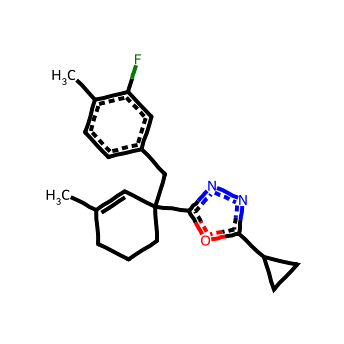 CC1=CC(Cc2ccc(C)c(F)c2)(c2nnc(C3CC3)o2)CCC1